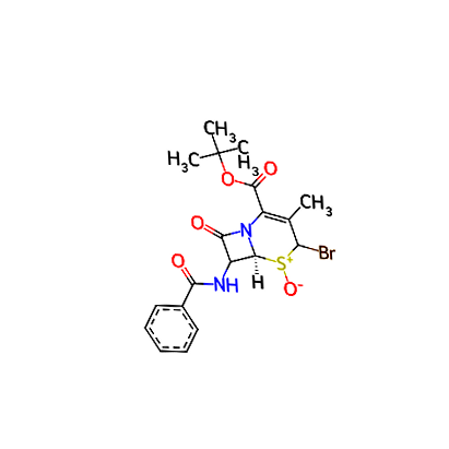 CC1=C(C(=O)OC(C)(C)C)N2C(=O)C(NC(=O)c3ccccc3)[C@@H]2[S+]([O-])C1Br